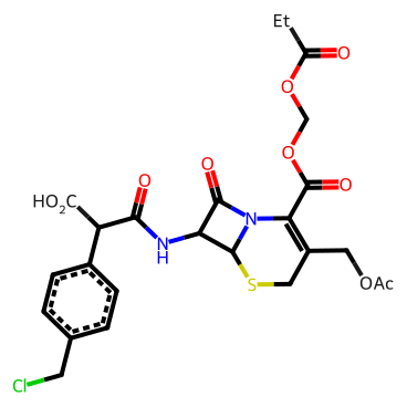 CCC(=O)OCOC(=O)C1=C(COC(C)=O)CSC2C(NC(=O)C(C(=O)O)c3ccc(CCl)cc3)C(=O)N12